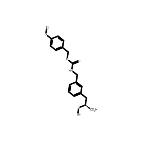 CCOc1ccc(COC(=O)NCc2cccc(C[C@H](OC(C)C)C(=O)O)c2)cc1